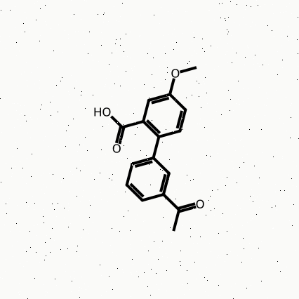 COc1ccc(-c2cccc(C(C)=O)c2)c(C(=O)O)c1